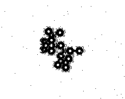 c1ccc(-c2ccc(N(c3cccc(N4c5ccccc5C5(c6cc7c8ccccc8n(-c8ccccc8)c7cc64)c4ccsc4-c4sccc45)c3)c3ccc4c(c3)C3(c5ccccc5-c5ccccc53)c3ccccc3-4)cc2)cc1